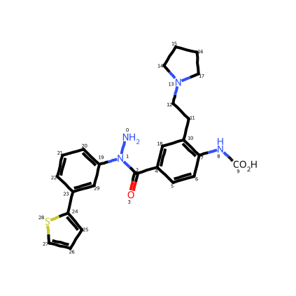 NN(C(=O)c1ccc(NC(=O)O)c(CCN2CCCC2)c1)c1cccc(-c2cccs2)c1